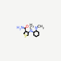 C=Nc1ccccc1N(C)c1cscc1C(N)=O